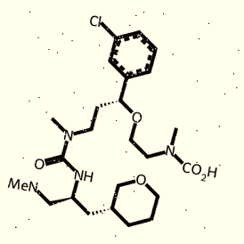 CNC[C@H](C[C@H]1CCCOC1)NC(=O)N(C)CC[C@@H](OCCN(C)C(=O)O)c1cccc(Cl)c1